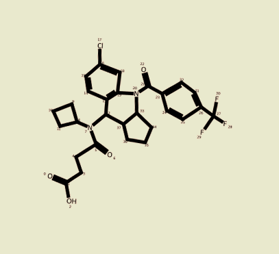 O=C(O)CCC(=O)N(C1CCC1)C1c2ccc(Cl)cc2N(C(=O)c2ccc(C(F)(F)F)cc2)C2CCCC21